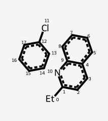 CCc1ccc2ccccc2n1.Clc1ccccc1